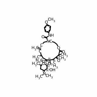 COc1ccc(NC(=O)N2CCCOC(=O)C(C)(C)C(=O)[C@H](C)[C@@H](O[C@@H]3O[C@H](C)C[C@H](N(C)C)[C@H]3O)[C@](C)(OC)C[C@@H](C)CN(C)CC2)cc1